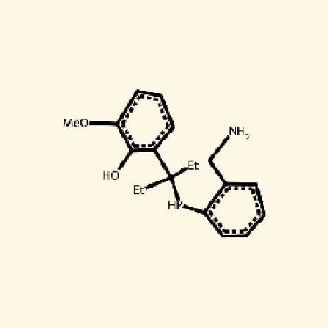 CCC(CC)(Pc1ccccc1CN)c1cccc(OC)c1O